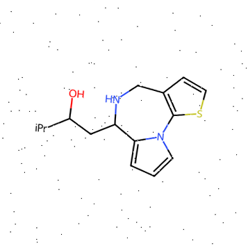 CC(C)C(O)CC1NCc2ccsc2-n2cccc21